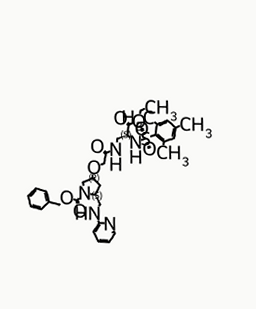 CCOC(=O)[C@H](CNC(=O)CO[C@@H]1C[C@@H](CNc2ccccn2)N(C(=O)OCc2ccccc2)C1)NS(=O)(=O)c1c(C)cc(C)cc1C